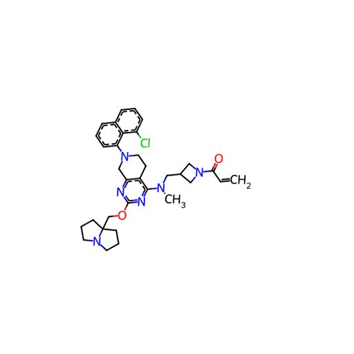 C=CC(=O)N1CC(CN(C)c2nc(OCC34CCCN3CCC4)nc3c2CCN(c2cccc4cccc(Cl)c24)C3)C1